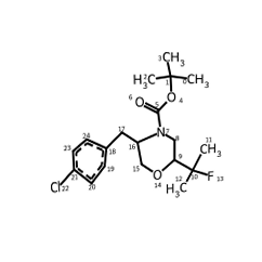 CC(C)(C)OC(=O)N1CC(C(C)(C)F)OCC1Cc1ccc(Cl)cc1